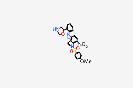 COc1ccc(S(=O)(=O)n2ccc3c(Nc4ccccc4C4CNCCO4)ccc([N+](=O)[O-])c32)cc1